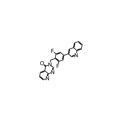 O=c1c2cccnc2ncn1Cc1c(F)cc(-c2cnc3ccccc3c2)cc1F